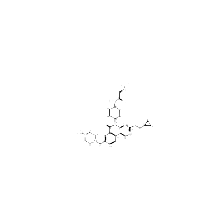 C/N=C/C(=O)NC1CCC(n2c(=O)c3cc(CN4CCN(C)CC4)ccc3c3cnc(NCC4CC4)nc32)CC1